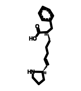 O=C(O)[C@@H](CCCC=C[C@@H]1CCCN1)Cc1ccccc1